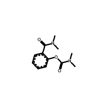 CN(C)C(=O)Oc1ccccc1C(=O)N(C)C